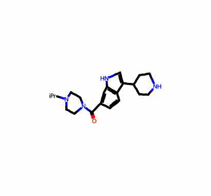 CC(C)N1CCN(C(=O)c2ccc3c(C4CCNCC4)c[nH]c3c2)CC1